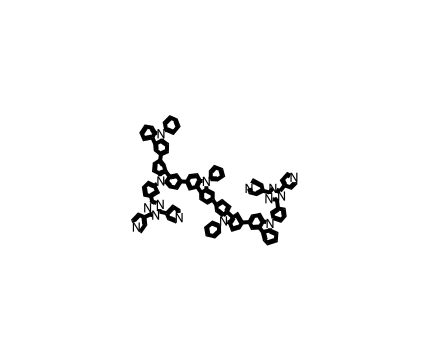 c1ccc(-n2c3ccccc3c3cc(-c4ccc5c(c4)c4cc(-c6ccc7c(c6)c6ccc(-c8ccc9c%10cc(-c%11ccc%12c(c%11)c%11ccccc%11n%12-c%11cccc(-c%12nc(-c%13ccncc%13)nc(-c%13ccncc%13)n%12)c%11)ccc%10n(-c%10ccccc%10)c9c8)cc6n7-c6ccccc6)ccc4n5-c4cccc(-c5nc(-c6ccncc6)nc(-c6ccncc6)n5)c4)ccc32)cc1